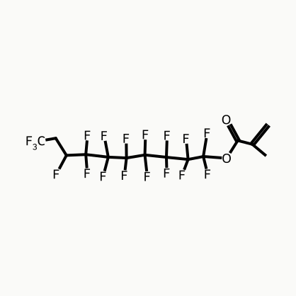 C=C(C)C(=O)OC(F)(F)C(F)(F)C(F)(F)C(F)(F)C(F)(F)C(F)(F)C(F)(F)C(F)CC(F)(F)F